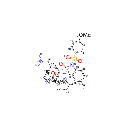 COc1ccc(S(=O)(=O)N2C(=O)C(c3cc(CN(C)C)ccc3OC)(N3CCC[C@H]3c3ncco3)c3cc(Cl)ccc32)cc1